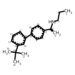 C=C(NCCC)c1ccc(-c2cccc(C(C)(C)C)c2)cc1